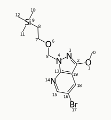 COc1nn(COCC[Si](C)(C)C)c2ncc(Br)cc12